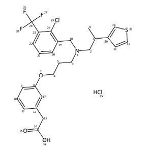 CC(CN(CCCOc1cccc(CC(=O)O)c1)Cc1cccc(C(F)(F)F)c1Cl)c1ccsc1.Cl